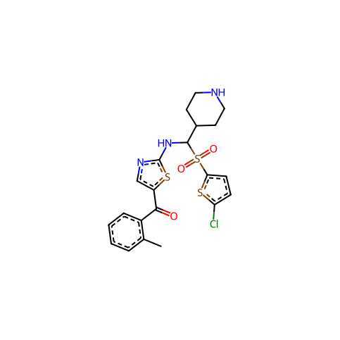 Cc1ccccc1C(=O)c1cnc(NC(C2CCNCC2)S(=O)(=O)c2ccc(Cl)s2)s1